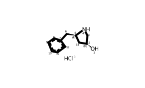 Cl.O[C@H]1CN[C@H](Cc2ccccc2)C1